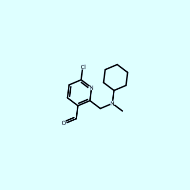 CN(Cc1nc(Cl)ccc1C=O)C1CCCCC1